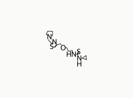 S=C(NCCCOCc1csc(CN2CCCC2)n1)NC1CC1